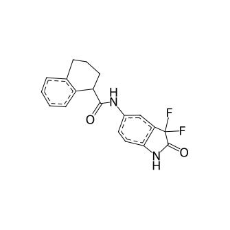 O=C(Nc1ccc2c(c1)C(F)(F)C(=O)N2)C1CCCc2ccccc21